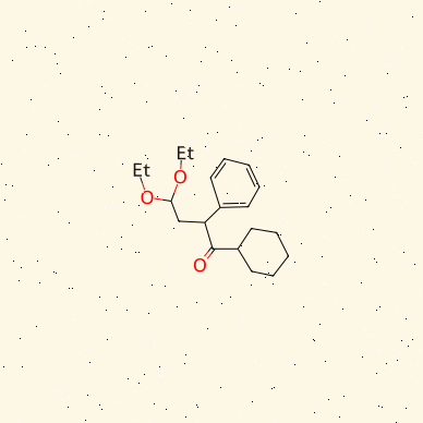 CCOC(CC(C(=O)C1CCCCC1)c1ccccc1)OCC